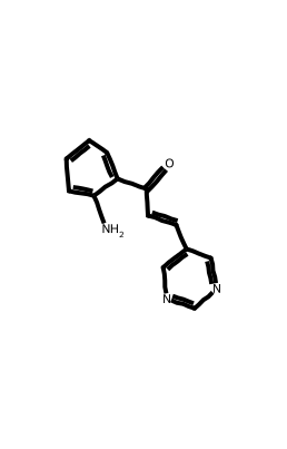 Nc1ccccc1C(=O)/C=C/c1cncnc1